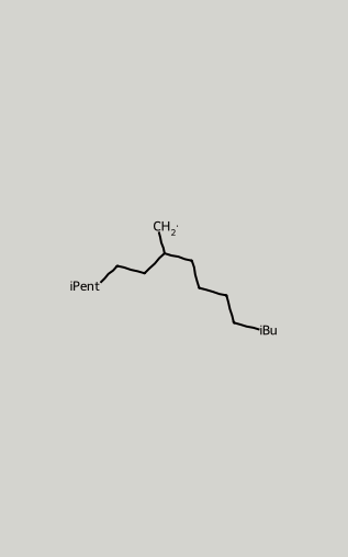 [CH2]C(CCCCC(C)CC)CCC(C)CCC